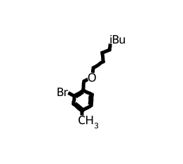 CCC(C)CCCCOCc1ccc(C)cc1Br